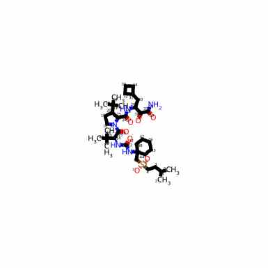 CC(C)CCS(=O)(=O)CC1(NC(=O)N[C@H](C(=O)N2CCC(C(C)(C)C)C2C(=O)NC(CC2CCC2)C(=O)C(N)=O)C(C)(C)C)CCCCC1